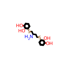 NC(CCSc1cccc(O)c1O)CSc1cccc(O)c1O